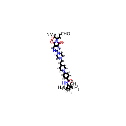 CNC(=O)C(CCC=O)N1C(=O)c2cnc(N3CCN(CCC4CCN(c5ccc(C(=O)NC6C(C)(C)CC6(C)C)cc5)CC4)CC3)nc2C1=O